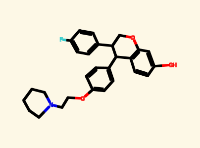 Oc1ccc2c(c1)OCC(c1ccc(F)cc1)C2c1ccc(OCCN2CCCCC2)cc1